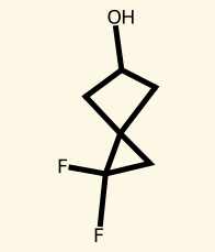 OC1CC2(C1)CC2(F)F